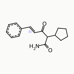 NC(=O)C(C(=O)/C=C/c1ccccc1)C1CCCC1